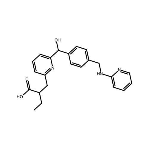 CCC(Cc1cccc(C(O)c2ccc(CNc3ccccn3)cc2)n1)C(=O)O